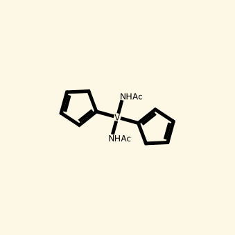 CC(=O)[NH][V]([NH]C(C)=O)([C]1=CC=CC1)[C]1=CC=CC1